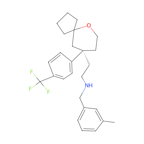 Cc1cccc(CNCC[C@@]2(c3ccc(C(F)(F)F)cc3)CCOC3(CCCC3)C2)c1